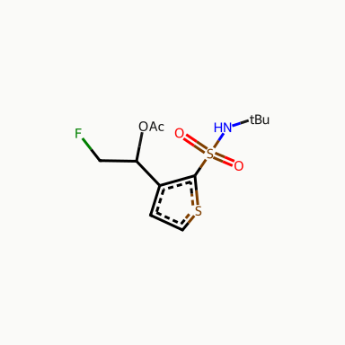 CC(=O)OC(CF)c1ccsc1S(=O)(=O)NC(C)(C)C